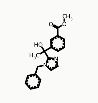 COC(=O)c1cccc(C(C)(O)c2nccn2Cc2ccccc2)c1